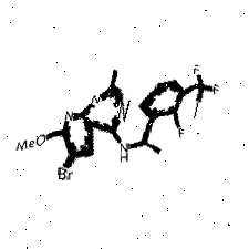 COc1nc2nc(C)nc(N[C@H](C)c3cccc(C(F)(F)I)c3F)c2cc1Br